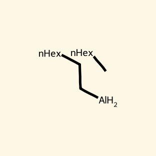 CCCCCCC.CCCCCCC[CH2][AlH2]